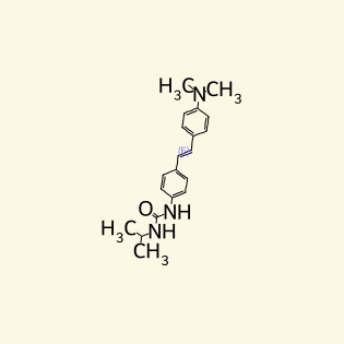 CC(C)NC(=O)Nc1ccc(/C=C/c2ccc(N(C)C)cc2)cc1